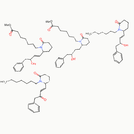 COC(=O)CCCCCCN1C(=O)CCCC1C=CC(O)Cc1ccccc1.COC(=O)CCCCCCN1C(=O)CCCC1CCC(O)Cc1ccccc1.O=C(O)CCCCCCN1C(=O)CCCC1C=CC(=O)Cc1ccccc1.O=C(O)CCCCCCN1C(=O)CCCC1C=CC(O)Cc1ccccc1